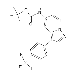 CN(C(=O)OC(C)(C)C)c1ccn2ncc(-c3ccc(C(F)(F)F)cc3)c2c1